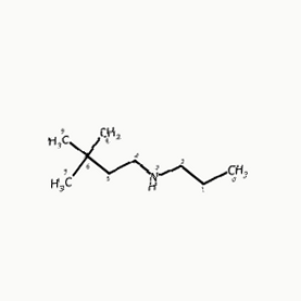 CCCNCCC(C)(C)C